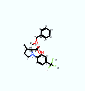 CC1CCN(c2ccc(C(F)(F)F)cc2)[C@]1(COCc1ccccc1)C(=O)O